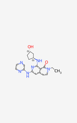 CCn1ccc2cc(Nc3cnccn3)nc(N[C@H]3CC[C@H](O)C3)c2c1=O